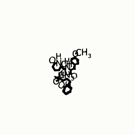 COc1ccc(CC(NC(=O)C2(C)CCCC(=O)N2)C(=O)NC(Cc2ccccc2)C(O)C2(C)CO2)cc1